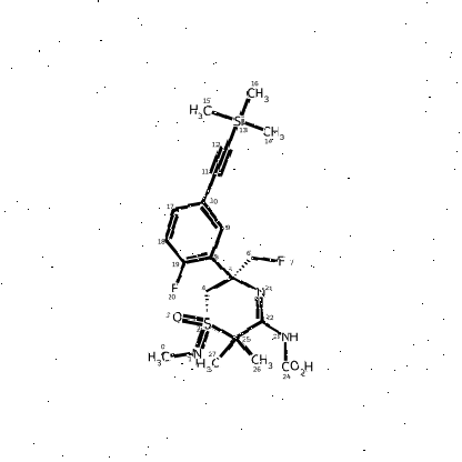 CN=[S@]1(=O)C[C@@](CF)(c2cc(C#C[Si](C)(C)C)ccc2F)N=C(NC(=O)O)C1(C)C